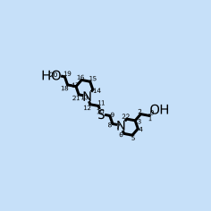 OCCC1CCCN(CCSCCN2CCCC(CCO)C2)C1